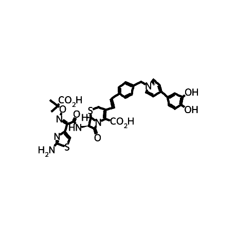 CC(C)(O/N=C(\C(=O)N[C@@H]1C(=O)N2C(C(=O)O)=C(/C=C/c3ccc(C[n+]4ccc(-c5ccc(O)c(O)c5)cc4)cc3)CS[C@H]12)c1csc(N)n1)C(=O)O